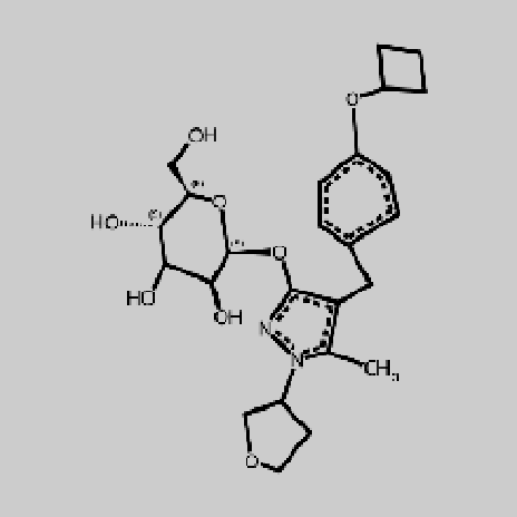 Cc1c(Cc2ccc(OC3CCC3)cc2)c(O[C@@H]2O[C@H](CO)[C@@H](O)C(O)C2O)nn1C1CCOC1